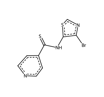 S=C(Nc1scnc1Br)c1ccncc1